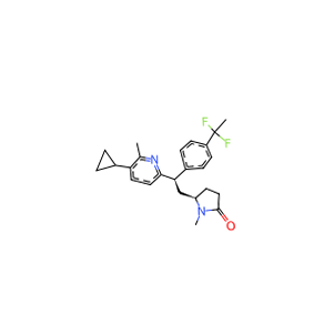 Cc1nc([C@H](C[C@H]2CCC(=O)N2C)c2ccc(C(C)(F)F)cc2)ccc1C1CC1